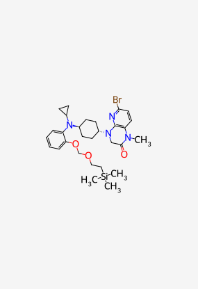 CN1C(=O)CN([C@H]2CC[C@H](N(c3ccccc3OCOCC[Si](C)(C)C)C3CC3)CC2)c2nc(Br)ccc21